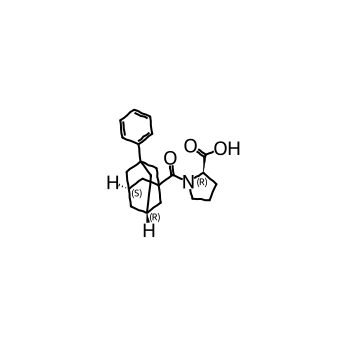 O=C(O)[C@H]1CCCN1C(=O)C12C[C@H]3C[C@@H](C1)CC(c1ccccc1)(C3)C2